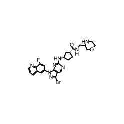 O=C(NCC1COCCN1)[C@@H]1CC[C@@H](Nc2ncc3c(Br)nn(-c4cc(F)c5ncccc5c4)c3n2)C1